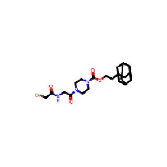 O=C(CBr)NCC(=O)N1CCN(C(=O)OCCC23CC4CC(CC(C4)C2)C3)CC1